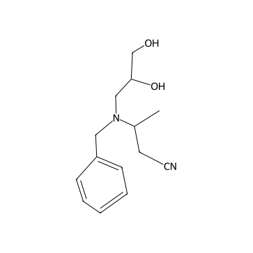 CC(CC#N)N(Cc1ccccc1)CC(O)CO